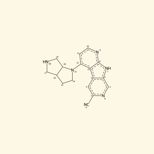 N#Cc1cc2c(cn1)[nH]c1nccc(N3CCC4CNCC43)c12